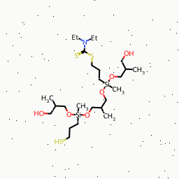 CCN(CC)C(=S)SCCC[Si](C)(OCC(C)CO)OCC(C)CO[Si](C)(CCCS)OCC(C)CO